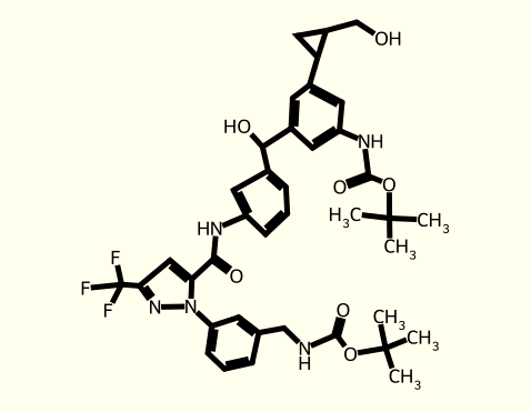 CC(C)(C)OC(=O)NCc1cccc(-n2nc(C(F)(F)F)cc2C(=O)Nc2cccc(C(O)c3cc(NC(=O)OC(C)(C)C)cc(C4CC4CO)c3)c2)c1